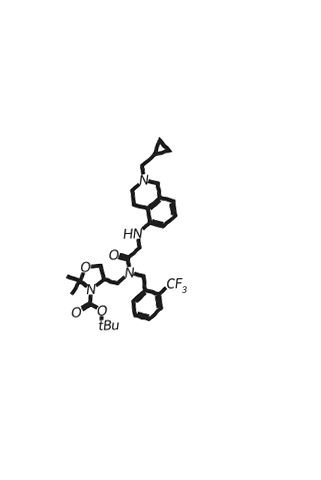 CC(C)(C)OC(=O)N1C(CN(Cc2ccccc2C(F)(F)F)C(=O)CNc2cccc3c2CCN(CC2CC2)C3)COC1(C)C